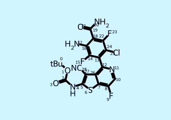 CC(C)(C)OC(=O)Nc1sc2c(F)cnc(-c3c(F)c(N)c(C(N)=O)c(F)c3Cl)c2c1C#N